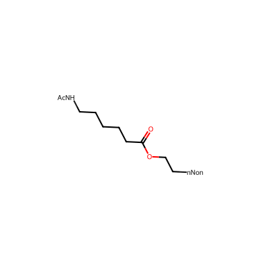 CCCCCCCCCCCOC(=O)CCCCCNC(C)=O